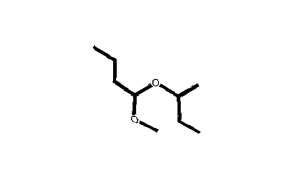 CCCC(OC)OC(C)CC